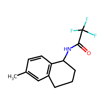 Cc1ccc2c(c1)CCCC2NC(=O)C(F)(F)F